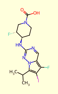 CC(C)c1c(I)c(F)c2cnc(N[C@@H]3CCN(C(=O)O)C[C@H]3F)nn12